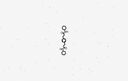 O=C(CCc1ccc(CCC(=O)NC2CCCCC2)cc1)NC1CCCCC1